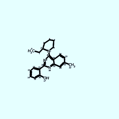 CCC1CCCCN1c1nc(-c2ccccc2O)nc2cc(C)ccc12